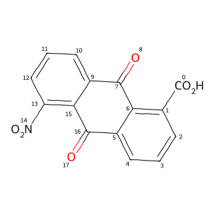 O=C(O)c1cccc2c1C(=O)c1cccc([N+](=O)[O-])c1C2=O